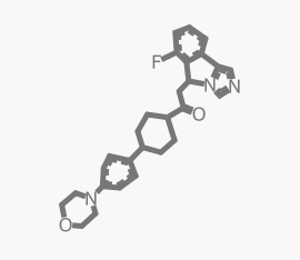 O=C(CC1c2c(F)cccc2-c2cncn21)C1CCC(c2ccc(N3CCOCC3)cc2)CC1